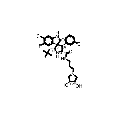 CC(C)(C)C[C@H]1N[C@@H](C(=O)NCCCN2C[C@H](O)[C@@H](O)C2)[C@H](c2cccc(Cl)c2)[C@@]12C(=O)Nc1cc(Cl)c(F)cc12